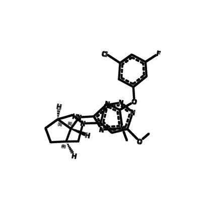 COc1cc(N2C[C@H]3CC[C@@H](C2)[C@@H]3Nc2nc(Oc3cc(F)cc(Cl)c3)n(C)n2)cnn1